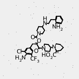 Nc1ccccc1CCNC1CCN(C(=O)O[C@H](Cc2cc(Cl)c(N)c(C(F)(F)F)c2)C(=O)N2CCC(N3CCCC[C@H]3C(=O)O)CC2)CC1